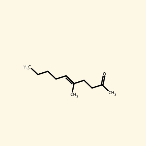 CCCC/C=C(\C)CCC(C)=O